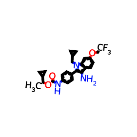 C[C@@H](OC(=O)Nc1ccc(-c2c(N)c3ccc(OCC(F)(F)F)cc3n2CC2CC2)cc1)C1CC1